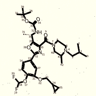 C[C](C)CN1CCN(C(=O)c2nc(-c3ccc(OC(F)F)c(OCC4CC4)c3)oc2[C@H](C)NC(=O)OC(C)(C)C)CC1C